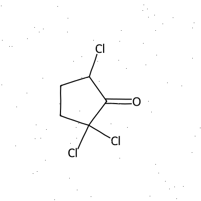 O=C1C(Cl)CCC1(Cl)Cl